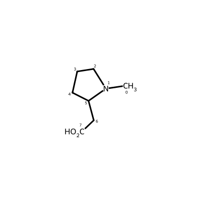 CN1CCCC1CC(=O)O